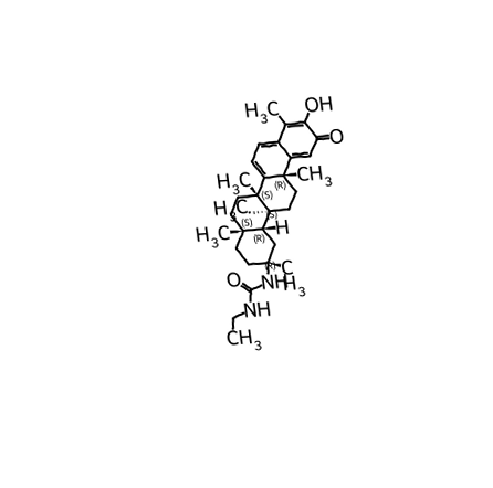 CCNC(=O)N[C@]1(C)CC[C@]2(C)CC[C@]3(C)C4=CC=C5C(=CC(=O)C(O)=C5C)[C@]4(C)CC[C@@]3(CC)[C@@H]2C1